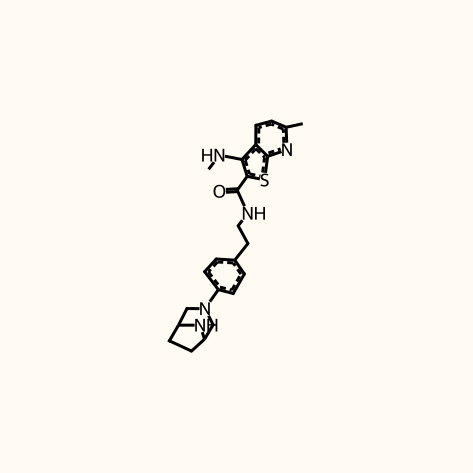 CNc1c(C(=O)NCCc2ccc(N3CC4CCC(C3)N4)cc2)sc2nc(C)ccc12